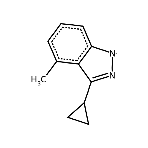 Cc1cccc2c1C(C1CC1)=N[N]2